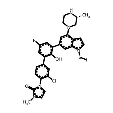 C[C@@H]1CN(c2cc(-c3cc(F)cc(-c4ccc(-n5ccn(C)c5=O)c(Cl)c4)c3O)cc3c2ccn3SI)CCN1